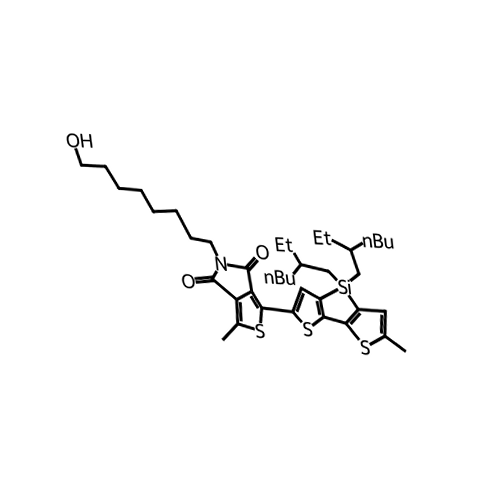 CCCCC(CC)C[Si]1(CC(CC)CCCC)c2cc(C)sc2-c2sc(-c3sc(C)c4c3C(=O)N(CCCCCCCCO)C4=O)cc21